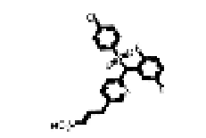 O=C(O)C=CCc1ccc(C(c2cc(F)ccc2F)S(=O)(=O)c2ccc(Cl)cc2)nc1